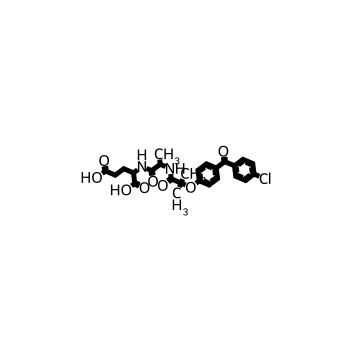 CC(NC(=O)C(C)(C)Oc1ccc(C(=O)c2ccc(Cl)cc2)cc1)C(=O)NC(CCC(=O)O)C(=O)O